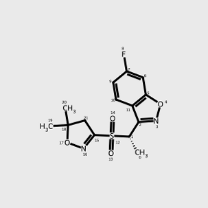 C[C@@H](c1noc2cc(F)ccc12)S(=O)(=O)C1=NOC(C)(C)C1